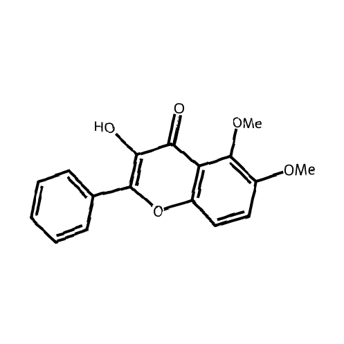 COc1ccc2oc(-c3ccccc3)c(O)c(=O)c2c1OC